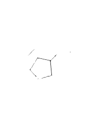 CCOC(=O)Cl.O=C(O)C1CCNC1